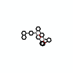 C1=C=C(N(c2ccc(-c3cccc4ccccc34)cc2)c2ccccc2-c2ccc(-n3c4ccccc4c4ccccc43)cc2)C=CC=1c1ccccc1